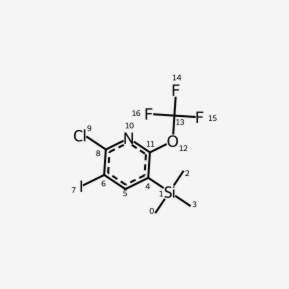 C[Si](C)(C)c1cc(I)c(Cl)nc1OC(F)(F)F